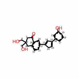 O=C1CC(CO)(CO)Cc2ccc(C3=CC(c4cccc(O)c4)=CC3)cc21